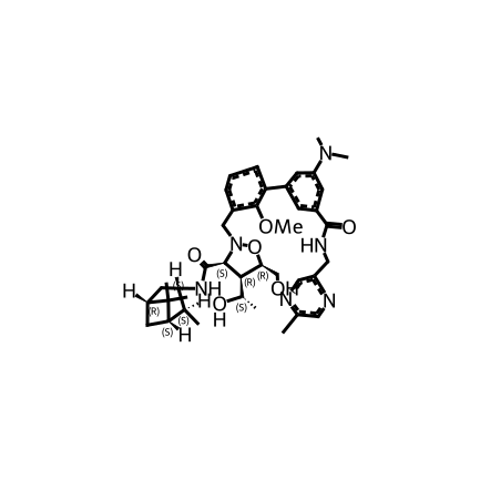 COc1c(CN2O[C@@H](CO)[C@@H]([C@H](C)O)[C@H]2C(=O)N[C@H]2C[C@H]3C[C@@H]([C@@H]2C)C3(C)C)cccc1-c1cc(C(=O)NCc2cnc(C)cn2)cc(N(C)C)c1